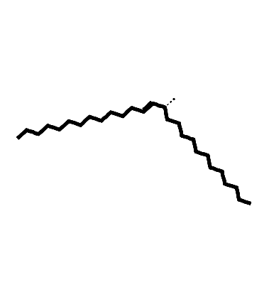 CCCCCCCCCCCCC=C[C@H](C)CCCCCCCCCCCC